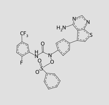 Nc1ncnc2scc(-c3ccc(N(OS(=O)(=O)c4ccccc4)C(=O)Nc4cc(C(F)(F)F)ccc4F)cc3)c12